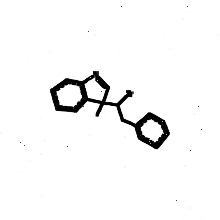 CC1(C(Br)Cc2ccccc2)C=Nc2ccccc21